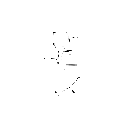 CN(C(=O)OC(C)(C)C)[C@H]1[C@H]2CC[C@@H]1[C@H](O)C2